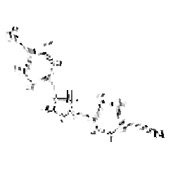 N#Cc1ccc(-c2coc(-c3ccc(Br)cc3)n2)cc1